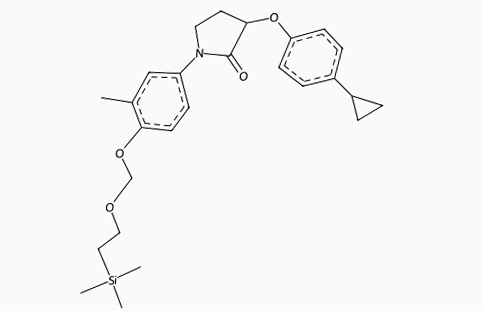 Cc1cc(N2CCC(Oc3ccc(C4CC4)cc3)C2=O)ccc1OCOCC[Si](C)(C)C